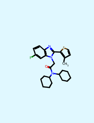 Cc1ccsc1-c1nc2ccc(F)cc2n1CC(=O)N(C1CCCCC1)C1CCCCC1